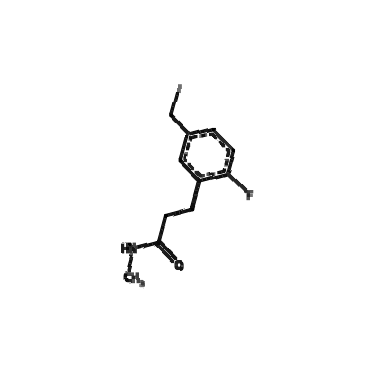 CNC(=O)CCc1cc(CI)ccc1F